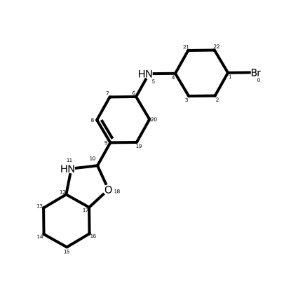 BrC1CCC(NC2CC=C(C3NC4CCCCC4O3)CC2)CC1